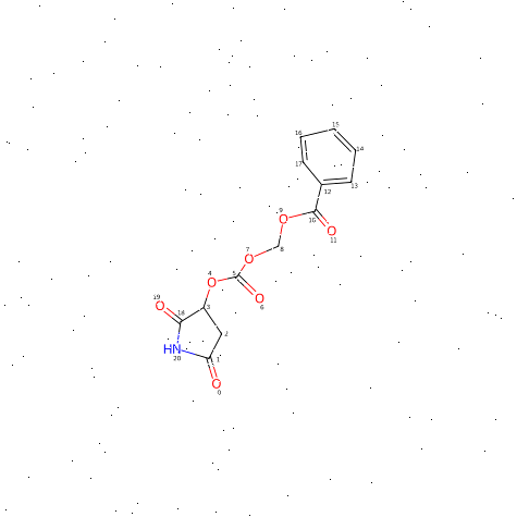 O=C1CC(OC(=O)OCOC(=O)c2ccccc2)C(=O)N1